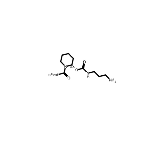 CCCCCC(=O)N1CCCC[C@@H]1OC(=O)NCCCN